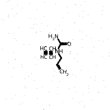 C#C.C#C.C=CCNC(N)=O